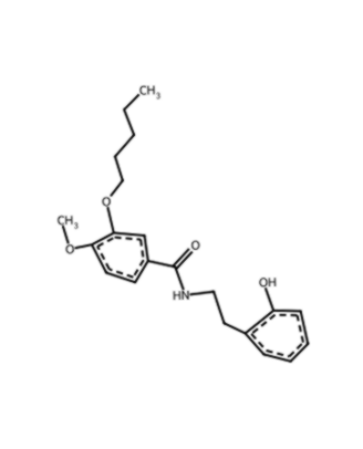 CCCCCOc1cc(C(=O)NCCc2ccccc2O)ccc1OC